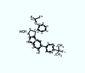 CC(C)(F)c1ncc(-c2cn3c4c(nc3cc2F)[C@H](O)C[C@@H]4c2ccccc2OC(F)F)cn1